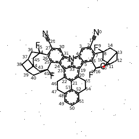 N#Cc1cc2c(c3c1C1(F)CC4CC(C1)CC3(F)C4)c1c3c4c(c5c6c7c(c(C#N)cc6n2c15)C1(F)CC2CC5CC7(F)CC25C1)CCc1cccc(c1-4)CC3